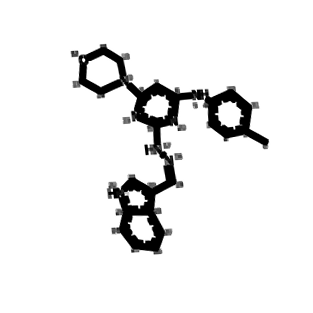 Cc1ccc(Nc2cc(N3CCOCC3)nc(N/N=C\c3c[nH]c4ccccc34)n2)cc1